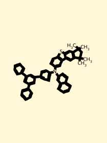 CC1(C)CC(C)(C)c2cc3c(cc21)sc1ccc(N(c2ccc(-c4cc(-c5ccccc5)cc(-c5ccccc5)c4)cc2)c2ccc4ccccc4c2)cc13